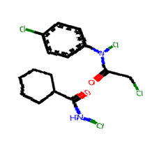 O=C(CCl)N(Cl)c1ccc(Cl)cc1.O=C(NCl)C1CCCCC1